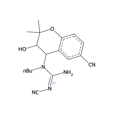 CCCCN(/C(N)=N\C#N)C1c2cc(C#N)ccc2OC(C)(C)C1O